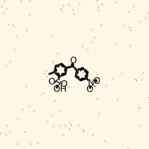 Cc1ccc(C(=O)c2ccc([N+](=O)[O-])cc2)cc1S(=O)(=O)O